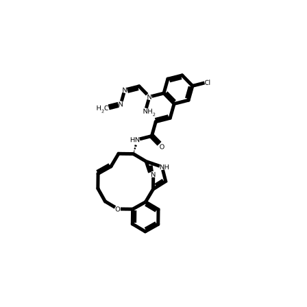 C=N/N=C\N(N)c1ccc(Cl)cc1/C=C/C(=O)N[C@H]1C/C=C/CCOc2ccccc2-c2c[nH]c1n2